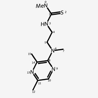 CNC(=S)NCCN(C)c1ncc(C)nc1C